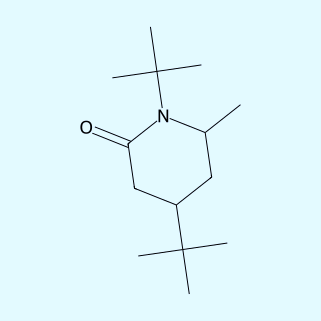 CC1CC(C(C)(C)C)CC(=O)N1C(C)(C)C